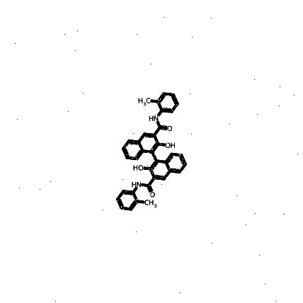 Cc1ccccc1NC(=O)c1cc2ccccc2c(-c2c(O)c(C(=O)Nc3ccccc3C)cc3ccccc23)c1O